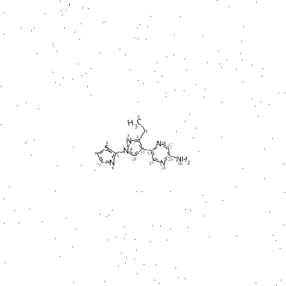 CCc1nn(-c2nccs2)cc1-c1cnc(N)cn1